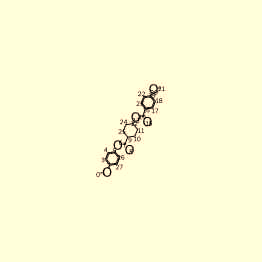 COc1ccc(OC(=O)C2CCC(OC(=O)c3ccc(OC)cc3)CC2)cc1